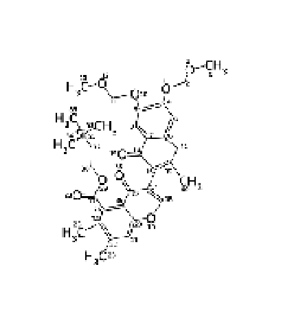 COCOc1cc2c(cc1OCOC)C(=O)C(c1coc3cc(C)c(C)c(C(=O)OCC[Si](C)(C)C)c3c1=O)=C(C)C2